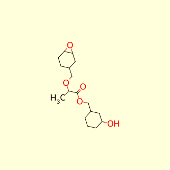 CC(OCC1CCC2OC2C1)C(=O)OCC1CCCC(O)C1